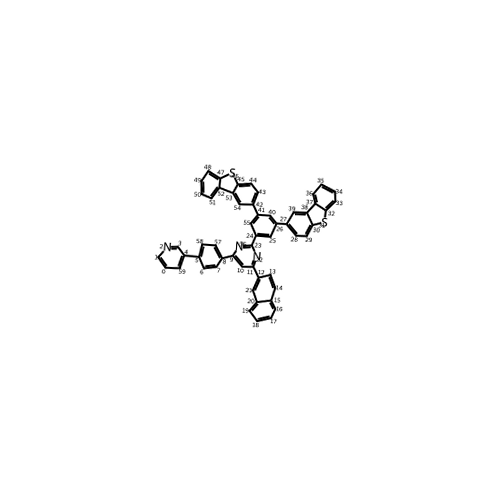 c1cncc(-c2ccc(-c3cc(-c4ccc5ccccc5c4)nc(-c4cc(-c5ccc6sc7ccccc7c6c5)cc(-c5ccc6sc7ccccc7c6c5)c4)n3)cc2)c1